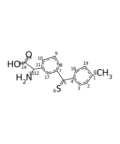 Cc1ccc(C(=S)c2cccc(C(N)C(=O)O)c2)cc1